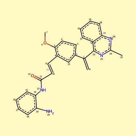 C=C(c1ccc(OC)c(/C=C/C(=O)Nc2ccccc2N)c1)c1nc(C)nc2ccccc12